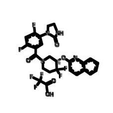 O=C(O)C(F)(F)F.O=C(c1cc(N2CCNC2=O)c(F)cc1F)N1CCC(F)(F)[C@@H](Oc2ccc3ccccc3n2)C1